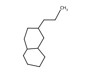 CCCC1CCC2CCCCC2C1